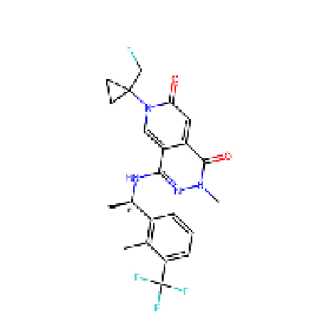 Cc1c([C@@H](C)Nc2nn(C)c(=O)c3cc(=O)n(C4(CF)CC4)cc23)cccc1C(F)(F)F